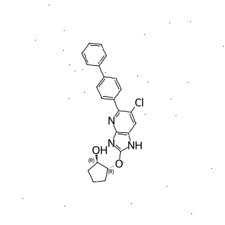 O[C@@H]1CCC[C@H]1Oc1nc2nc(-c3ccc(-c4ccccc4)cc3)c(Cl)cc2[nH]1